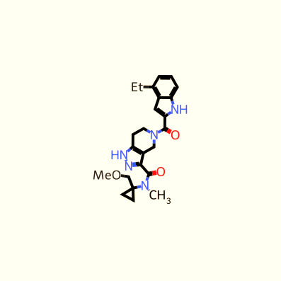 CCc1cccc2[nH]c(C(=O)N3CCc4[nH]nc(C(=O)N(C)C5(COC)CC5)c4C3)cc12